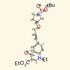 CCOC(=O)c1cn(CC)c2ccc(C#CCO[C@@H]3CCN(C(=O)OC(C)(C)C)C3)cc2c1=O